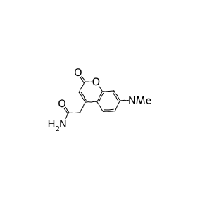 CNc1ccc2c(CC(N)=O)cc(=O)oc2c1